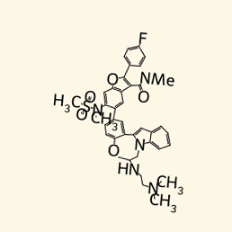 CNC(=O)c1c(-c2ccc(F)cc2)oc2cc(N(C)S(C)(=O)=O)c(-c3ccc4c(c3)-c3cc5ccccc5n3CC(NCCN(C)C)CO4)cc12